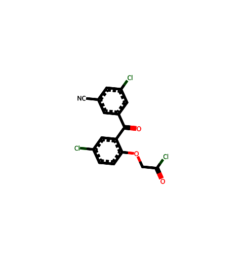 N#Cc1cc(Cl)cc(C(=O)c2cc(Cl)ccc2OCC(=O)Cl)c1